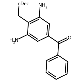 CCCCCCCCCCCc1c(N)cc(C(=O)c2ccccc2)cc1N